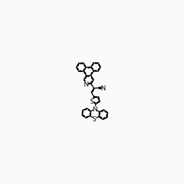 N#C/C(=C\c1ccc(N2c3ccccc3Sc3ccccc32)s1)c1cc2c3ccccc3c3ccccc3c2cn1